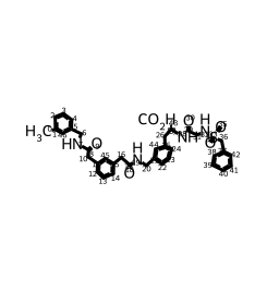 Cc1cccc(CNC(=O)Cc2cccc(CC(=O)NCc3cccc(C[C@H](NC(=O)CNS(=O)(=O)Cc4ccccc4)C(=O)O)c3)c2)c1